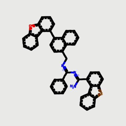 N/C(=N\C(=N/Cc1ccc(-c2cccc3oc4ccccc4c23)c2ccccc12)c1ccccc1)c1cccc2sc3ccccc3c12